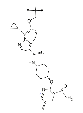 C=C/C=N\C(O[C@H]1CC[C@H](NC(=O)c2cnn3c(C4CC4)c(OCC(C)(F)F)ccc23)CC1)=C(/C)C(N)=O